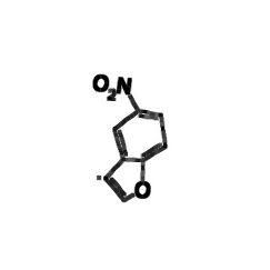 O=[N+]([O-])c1ccc2oc[c]c2c1